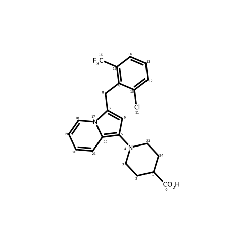 O=C(O)C1CCN(c2cc(Cc3c(Cl)cccc3C(F)(F)F)n3ccccc23)CC1